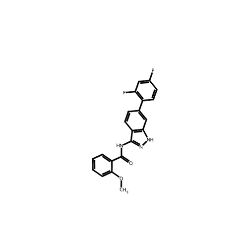 COc1ccccc1C(=O)Nc1n[nH]c2cc(-c3ccc(F)cc3F)ccc12